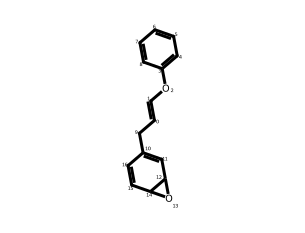 C(=COc1ccccc1)CC1=CC2OC2C=C1